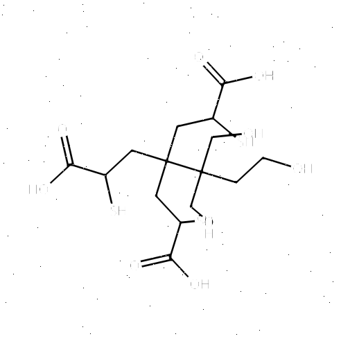 O=C(O)C(S)CC(CC(S)C(=O)O)(CC(S)C(=O)O)C(CO)(CO)CCO